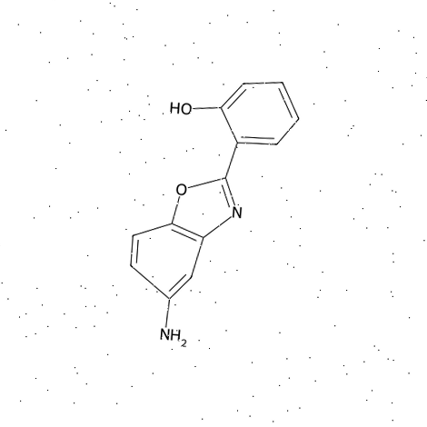 Nc1ccc2oc(-c3ccccc3O)nc2c1